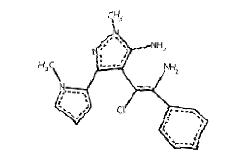 Cn1cccc1-c1nn(C)c(N)c1/C(Cl)=C(\N)c1ccccc1